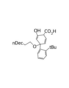 CCCCCCCCCCCCOC1(c2ccccc2C(C)(C)C)C=CC(C(=O)O)C(O)=C1